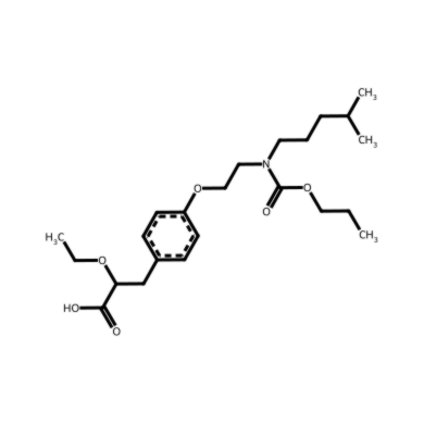 CCCOC(=O)N(CCCC(C)C)CCOc1ccc(CC(OCC)C(=O)O)cc1